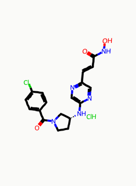 Cl.O=C(C=Cc1cnc(N[C@@H]2CCN(C(=O)c3ccc(Cl)cc3)C2)cn1)NO